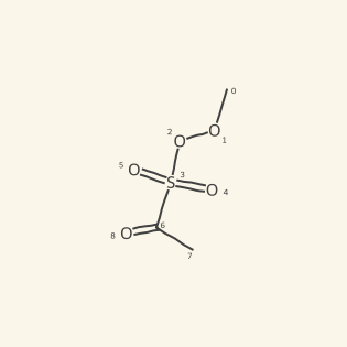 COOS(=O)(=O)C(C)=O